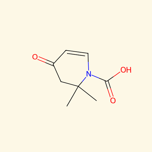 CC1(C)CC(=O)C=CN1C(=O)O